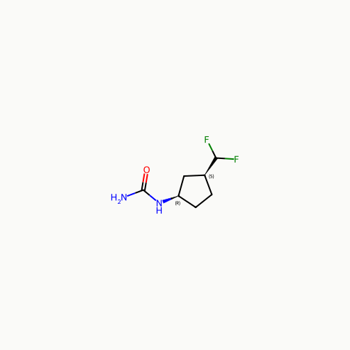 NC(=O)N[C@@H]1CC[C@H](C(F)F)C1